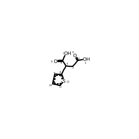 O=C(O)CC(C(=O)O)c1cccs1